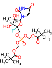 CC(C)(C)C(=O)OCOP(=O)(OCOC(=O)C(C)(C)C)OC[C@@]1(F)OC(n2ccc(=O)[nH]c2=O)[C@](C)(O)[C@@H]1O